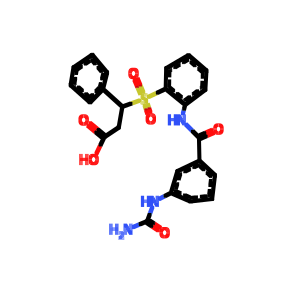 NC(=O)Nc1cccc(C(=O)Nc2ccccc2S(=O)(=O)C(CC(=O)O)c2ccccc2)c1